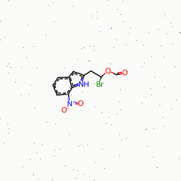 O=COC(Br)Cc1cc2cccc([N+](=O)[O-])c2[nH]1